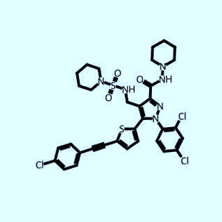 O=C(NN1CCCCC1)c1nn(-c2ccc(Cl)cc2Cl)c(-c2ccc(C#Cc3ccc(Cl)cc3)s2)c1CNS(=O)(=O)N1CCCCC1